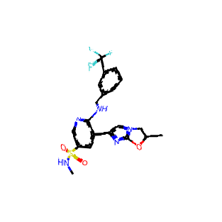 CNS(=O)(=O)c1cnc(NCc2cccc(C(F)(F)F)c2)c(-c2cn3c(n2)OC(C)C3)c1